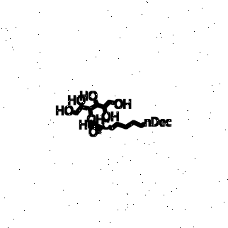 C1CO1.CCCCCCCCCCCCCCCC(=O)O.OCC(O)C(O)C(O)C(O)CO